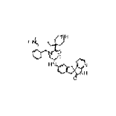 CCC1(C(=O)N(CC(=O)Nc2ccc3c(c2)CC2(C3)C(=O)Nc3ncccc32)Cc2ccccc2CNC)CCNCC1